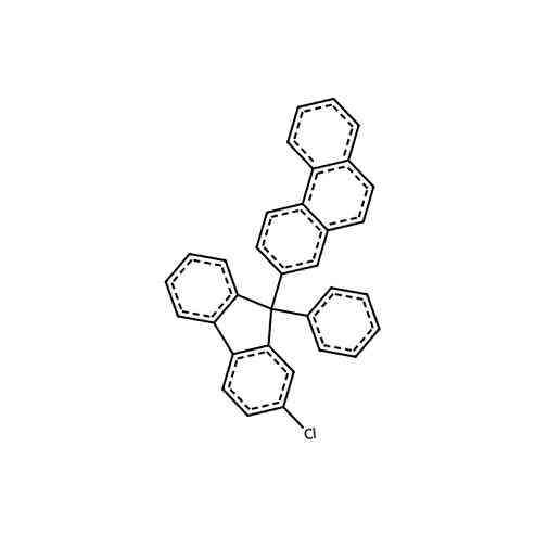 Clc1ccc2c(c1)C(c1ccccc1)(c1ccc3c(ccc4ccccc43)c1)c1ccccc1-2